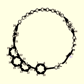 C1=C/CCOc2ccc(cc2)-c2ccc3ccc4ccc(nc4c3n2)-c2ccc(cc2)OCCOCCOCCOc2ccc(cc2)OCC/1